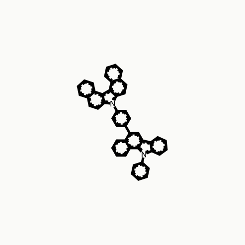 c1ccc(-n2c3ccccc3c3cc(-c4ccc(-n5c6ccc7ccccc7c6c6c7ccccc7ccc65)cc4)c4ccccc4c32)cc1